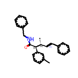 Cc1cccc([C@@H](C(=O)NCc2ccccc2)[C@H](C)/C=C/c2ccccc2)c1